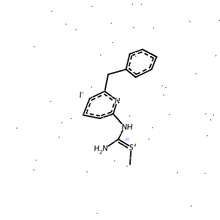 C/[S+]=C(\N)Nc1cccc(Cc2ccccc2)n1.[I-]